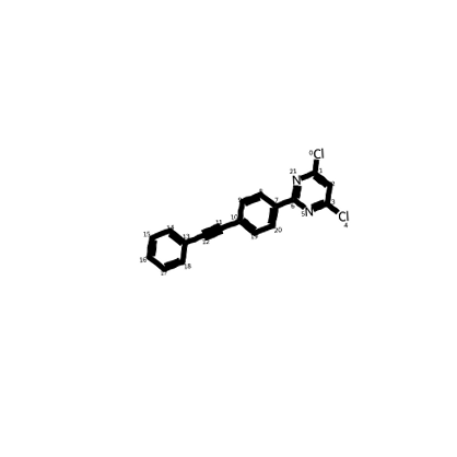 Clc1cc(Cl)nc(-c2ccc(C#Cc3ccccc3)cc2)n1